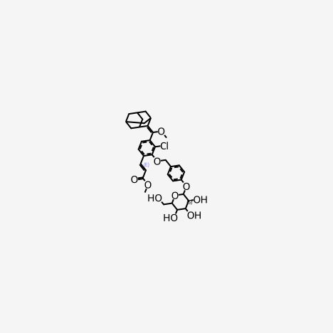 COC(=O)/C=C/c1ccc(C(OC)=C2C3CC4CC(C3)CC2C4)c(Cl)c1OCc1ccc(OC2OC(CO)C(O)C(O)[C@@H]2O)cc1